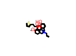 C=CCN1CCC23c4c5ccc(O)c4OC2C2(OC)CCC3(CC2C(C)(O)CCc2cccs2)C1C5